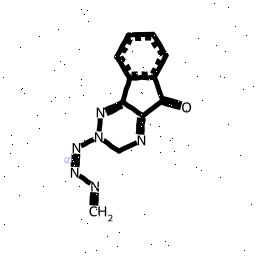 C=N/N=N\N1CN=C2C(=O)c3ccccc3C2=N1